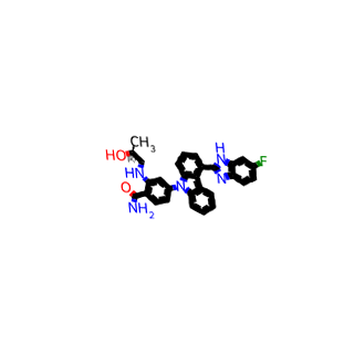 C[C@@H](O)CNc1cc(-n2c3ccccc3c3c(-c4nc5ccc(F)cc5[nH]4)cccc32)ccc1C(N)=O